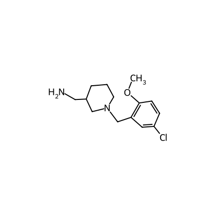 COc1ccc(Cl)cc1CN1CCCC(CN)C1